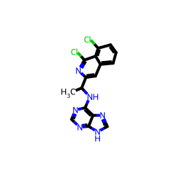 CC(Nc1ncnc2[nH]cnc12)c1cc2cccc(Cl)c2c(Cl)n1